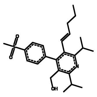 CCCC=Cc1c(C(C)C)nc(C(C)C)c(CO)c1-c1ccc(S(C)(=O)=O)cc1